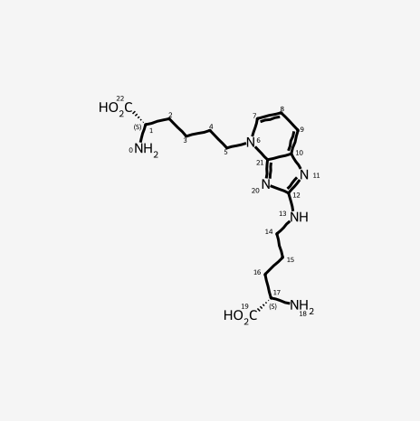 N[C@@H](CCCCn1cccc2nc(NCCC[C@H](N)C(=O)O)nc1-2)C(=O)O